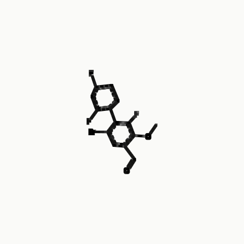 COc1c(C=O)cc(Br)c(-c2ccc(F)cc2F)c1F